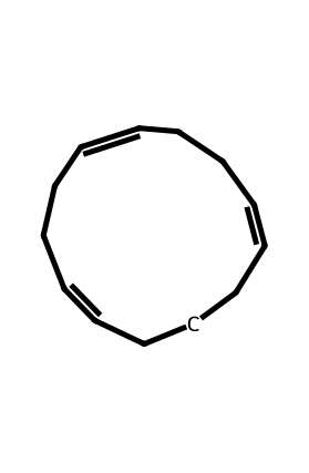 C1=CCCC=CCCCC=CCC1